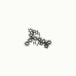 CC1(C)c2ccccc2-c2ccc(N(c3ccc(-c4ccccc4)cc3)c3ccc(-c4ccc5c(c4)C(C)(C)c4cc(-n6c7ccccc7c7ccccc76)ccc4-5)cc3)cc21